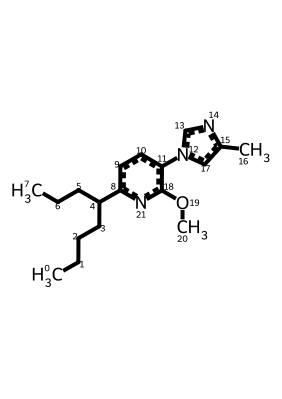 CCCCC(CCC)c1ccc(-n2cnc(C)c2)c(OC)n1